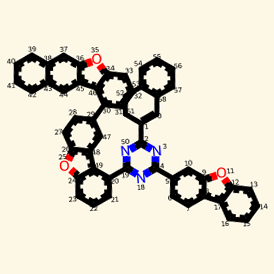 C1=C(c2nc(-c3ccc4c(c3)oc3ccccc34)nc(-c3cccc4oc5ccc(-c6cccc7oc8cc9ccccc9cc8c67)cc5c34)n2)CCc2ccccc21